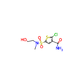 CN(CCO)S(=O)(=O)c1cc(C(N)=O)c(Cl)s1